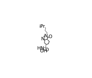 CC(C)CCCn1cnc2cc(C(=O)NO)ccc2c1=O